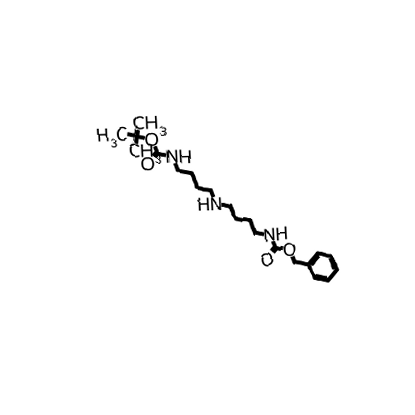 CC(C)(C)OC(=O)NCCCCNCCCCNC(=O)OCc1ccccc1